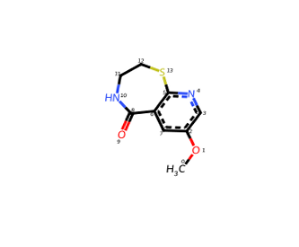 COc1cnc2c(c1)C(=O)NCCS2